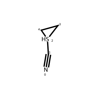 N#C[SH]1CC1